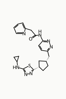 O=C(Cc1ccccn1)Nc1ccc(C[C@@H]2CC[C@H](c3nnc(NC4CC4)s3)C2)nn1